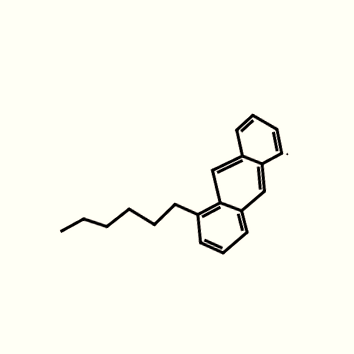 CCCCCCc1cccc2cc3[c]cccc3cc12